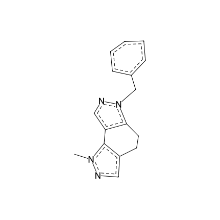 Cn1ncc2c1-c1cnn(Cc3ccccc3)c1CC2